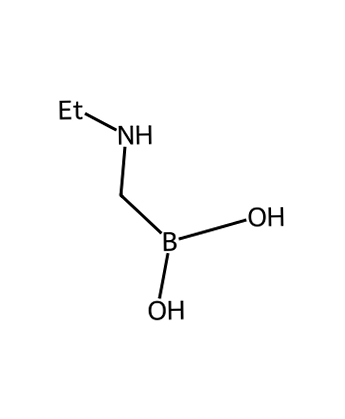 CCNCB(O)O